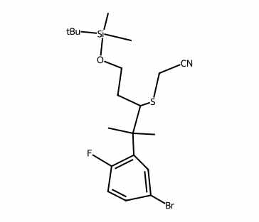 CC(C)(c1cc(Br)ccc1F)C(CCO[Si](C)(C)C(C)(C)C)SCC#N